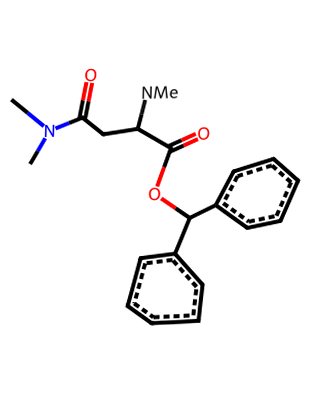 CNC(CC(=O)N(C)C)C(=O)OC(c1ccccc1)c1ccccc1